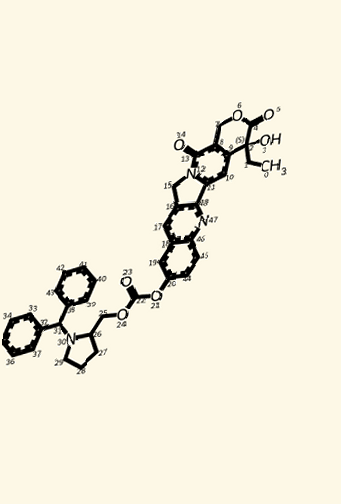 CC[C@@]1(O)C(=O)OCc2c1cc1n(c2=O)Cc2cc3cc(OC(=O)OCC4CCCN4C(c4ccccc4)c4ccccc4)ccc3nc2-1